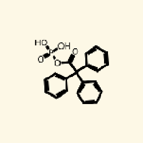 O=C(OP(=O)(O)O)C(c1ccccc1)(c1ccccc1)c1ccccc1